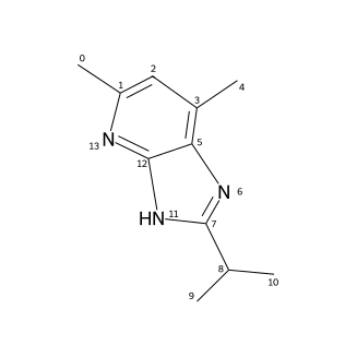 Cc1cc(C)c2nc(C(C)C)[nH]c2n1